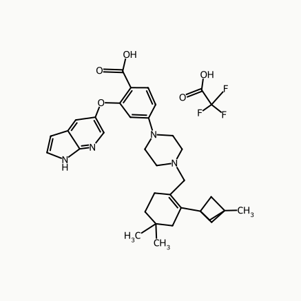 CC1(C)CCC(CN2CCN(c3ccc(C(=O)O)c(Oc4cnc5[nH]ccc5c4)c3)CC2)=C(C23CC(C)(C2)C3)C1.O=C(O)C(F)(F)F